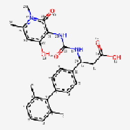 Cc1cccc(C)c1-c1ccc([C@H](CC(=O)O)NC(=O)Nc2c(O)cc(C)n(C)c2=O)cc1